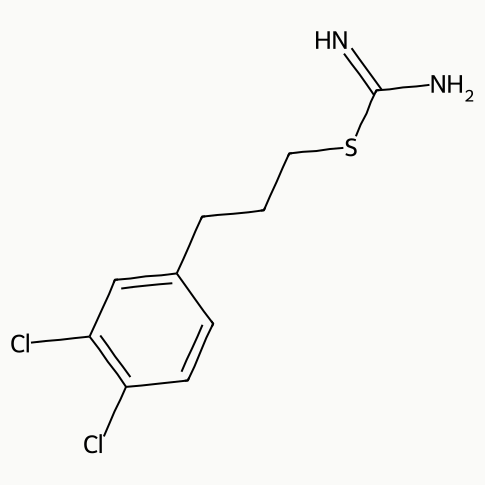 N=C(N)SCCCc1ccc(Cl)c(Cl)c1